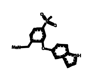 CNCc1ccc(S(C)(=O)=O)cc1Oc1ccc2[nH]ccc2c1